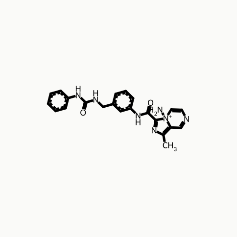 CC1=C2C=NC=C[N+]2(N)C(C(=O)Nc2cccc(CNC(=O)Nc3ccccc3)c2)=N1